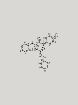 O=C(N[C@@H](Cc1ccccc1)C(=O)Nc1ccc(F)cc1)OCc1ccccc1